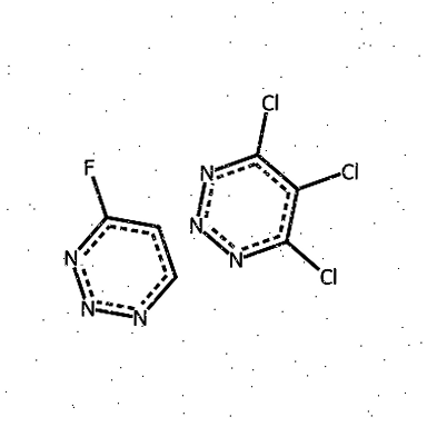 Clc1nnnc(Cl)c1Cl.Fc1ccnnn1